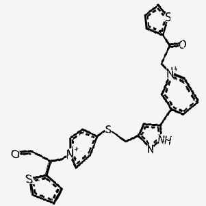 O=CC(c1cccs1)[n+]1ccc(SCc2cc(-c3ccc[n+](CC(=O)c4cccs4)c3)[nH]n2)cc1